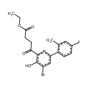 CCOC(=O)CCC(=O)c1nc(-c2ccc(F)cc2C)cc(Br)c1O